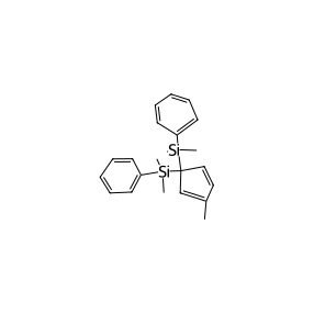 CC1=CC([Si](C)(C)c2ccccc2)([Si](C)(C)c2ccccc2)C=C1